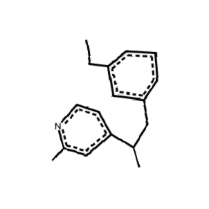 CCc1cccc(CC(C)c2ccnc(C)c2)c1